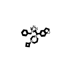 c1ccc(Cn2nnnc2C(c2ccc3c(c2)CCO3)N2CCCN(C3CCC3)CC2)cc1